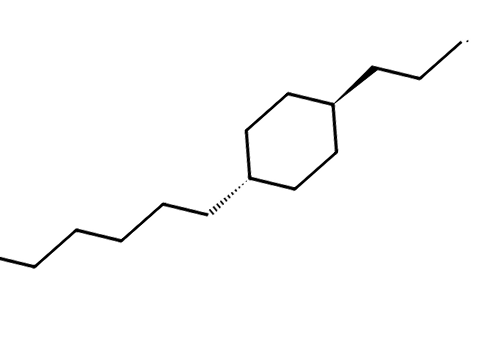 [CH2]CC[C@H]1CC[C@H](CCCCCC)CC1